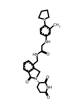 Cc1cc(NCC(=O)NCc2cccc3c2CN([C@H]2CCC(=O)NC2=O)C3=O)ccc1N1CCCC1